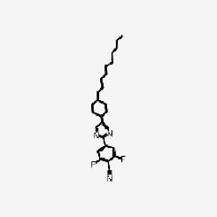 CCCCCCCCCCC1CCC(c2cnc(-c3cc(F)c(C#N)c(F)c3)nc2)CC1